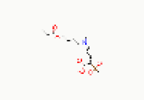 C=CC(=O)OCCCCN(C)/C=C/C=C(\C(=O)OC)S(C)(=O)=O